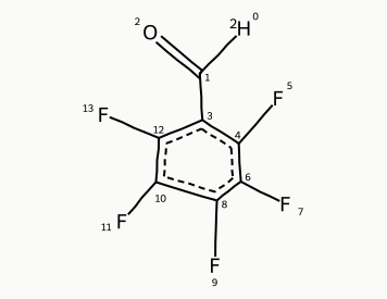 [2H]C(=O)c1c(F)c(F)c(F)c(F)c1F